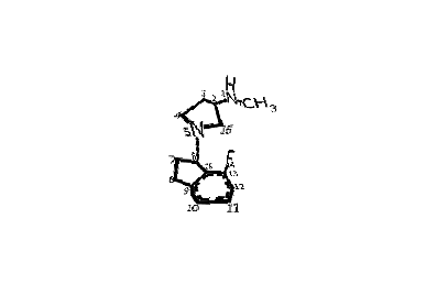 CNC1CCN(C2CCc3cccc(F)c32)C1